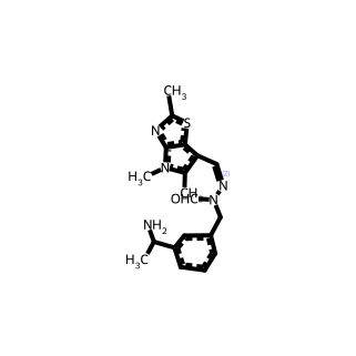 Cc1nc2c(s1)c(/C=N\N(C=O)Cc1cccc(C(C)N)c1)c(C)n2C